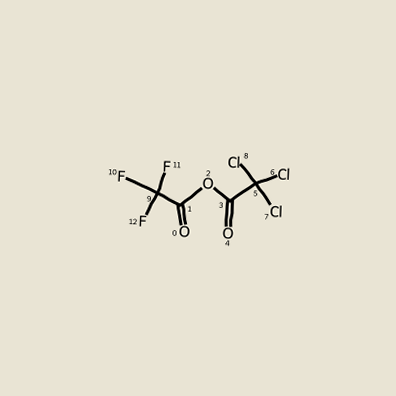 O=C(OC(=O)C(Cl)(Cl)Cl)C(F)(F)F